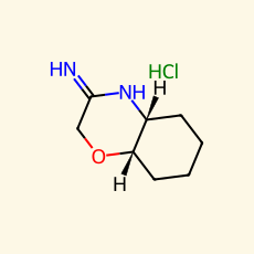 Cl.N=C1CO[C@H]2CCCC[C@H]2N1